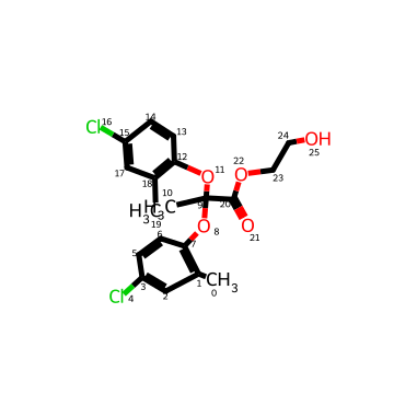 Cc1cc(Cl)ccc1OC(C)(Oc1ccc(Cl)cc1C)C(=O)OCCO